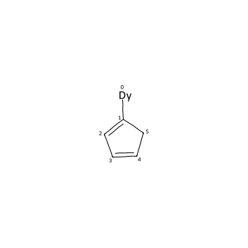 [Dy][C]1=CC=CC1